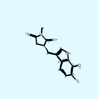 CN1C(=O)C[C@H](Cc2c[nH]c3c(Cl)c(Cl)ccc23)C1=O